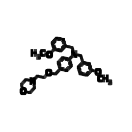 COc1cccc(CN(Cc2cccc(OC)c2)c2ccc(COCCN3CCOCC3)cc2)c1